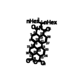 CCCCCCC(CCCCCC)N1C(=O)C2=CC=c3c4c(c5c6c3=CC=C3C(=O)OC(=O)C(C=C5)C36)C=CC(C1=O)C24